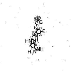 N=C(N)c1ccc2[nH]c(Cc3nc4c(OCCN5CCOC5=O)cc(F)cc4[nH]3)nc2c1